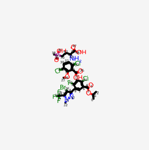 CC(C)OC(=O)c1cc(-c2nn(C)c(C(F)(F)F)c2Br)c(F)cc1Cl.COc1c(Cl)ccc(Cl)c1C(=O)O.CP(=O)(O)CCC(N)C(=O)O